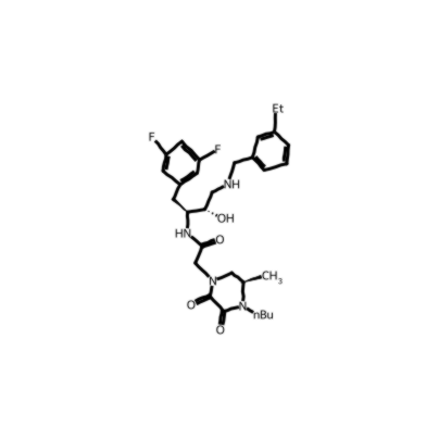 CCCCN1C(=O)C(=O)N(CC(=O)N[C@@H](Cc2cc(F)cc(F)c2)[C@@H](O)CNCc2cccc(CC)c2)C[C@H]1C